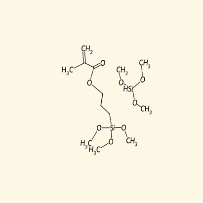 C=C(C)C(=O)OCCC[Si](OC)(OC)OC.CO[SiH](OC)OC